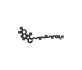 O=C(O)COCCOCCOCCCc1cccc2c1C(=O)N(C1CCC(=O)NC1=O)C2=O